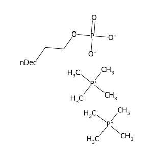 CCCCCCCCCCCCOP(=O)([O-])[O-].C[P+](C)(C)C.C[P+](C)(C)C